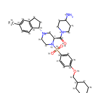 NC1CCN(C(=O)[C@@H]2CN([C@H]3CCc4cc(C(F)(F)F)ccc43)CCN2S(=O)(=O)c2ccc(OCC3CCCCC3)cc2)CC1